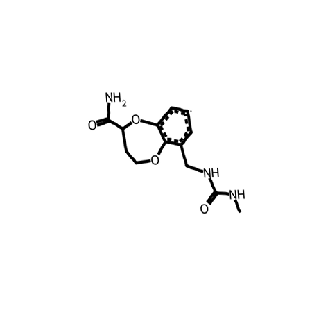 CNC(=O)NCc1c[c]cc2c1OCCC(C(N)=O)O2